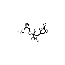 CC(C)C(C)COC(C)(C)CC1COC(=O)O1